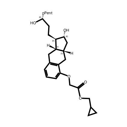 CCCCC[C@@H](O)CC[C@@H]1[C@H]2Cc3cccc(OCC(=O)OCC4CC4)c3C[C@H]2C[C@H]1O